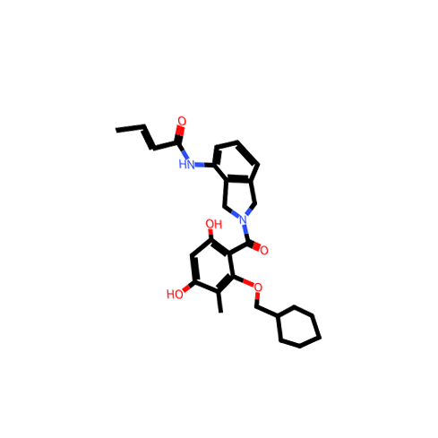 C/C=C/C(=O)Nc1cccc2c1CN(C(=O)c1c(O)cc(O)c(C)c1OCC1CCCCC1)C2